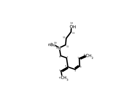 C=C/C=C\C(=C/C)CCN(CCCC)CCCO